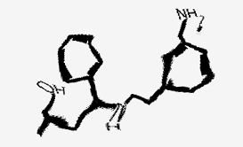 CC(O)CC(NCCc1cccc(N)c1)c1ccccc1